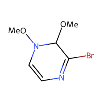 COC1C(Br)=NC=CN1OC